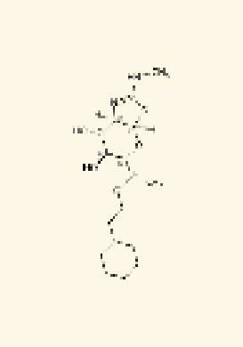 CNC1=N[C@@H]2[C@@H](O)[C@H](O)[C@@H]([C@H](C)OCCC3CCCCC3)O[C@@H]2S1